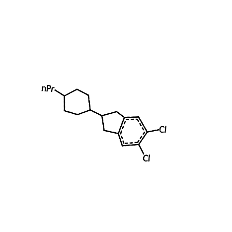 CCCC1CCC(C2Cc3cc(Cl)c(Cl)cc3C2)CC1